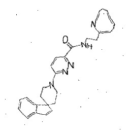 O=C(NCCc1ccccn1)c1ccc(N2CCC3(C=Cc4ccccc43)CC2)nn1